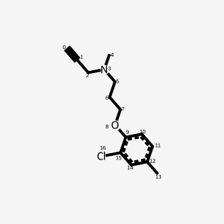 C#CCN(C)CCCOc1ccc(C)cc1Cl